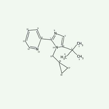 CC(C)(C)c1cnc(-c2ccccn2)n1CC1CC1